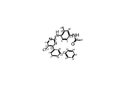 CC(=O)Nc1ccc(Nc2ncc(Cl)c(-c3cccc(-c4ccccc4)c3)n2)c(C)c1